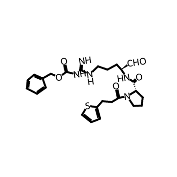 N=C(NCCC[C@@H](C=O)NC(=O)[C@@H]1CCCN1C(=O)CCc1cccs1)NC(=O)OCc1ccccc1